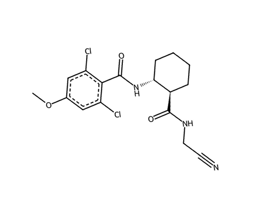 COc1cc(Cl)c(C(=O)N[C@@H]2CCCC[C@H]2C(=O)NCC#N)c(Cl)c1